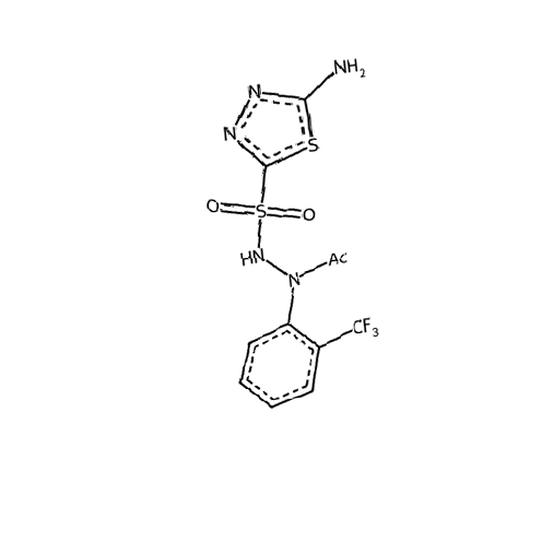 CC(=O)N(NS(=O)(=O)c1nnc(N)s1)c1ccccc1C(F)(F)F